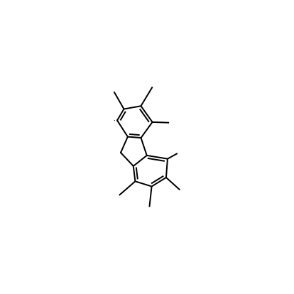 Cc1[c]c2c(c(C)c1C)-c1c(C)c(C)c(C)c(C)c1C2